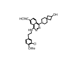 COc1ccc(CCNc2nnc(N3CCC4(CC3)CC(O)C4)c3ccc(C#N)cc23)cc1Cl.Cl